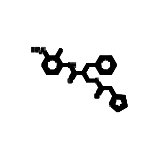 Cc1c(NC(=O)C(CSC(=O)Cc2cccs2)Cc2ccccc2)cccc1C(=O)O